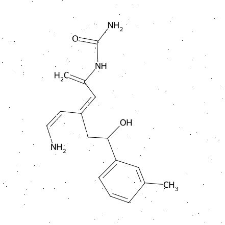 C=C(/C=C(\C=C/N)CC(O)c1cccc(C)c1)NC(N)=O